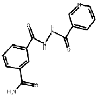 NC(=O)c1cccc(C(=O)NNC(=O)c2cccnc2)c1